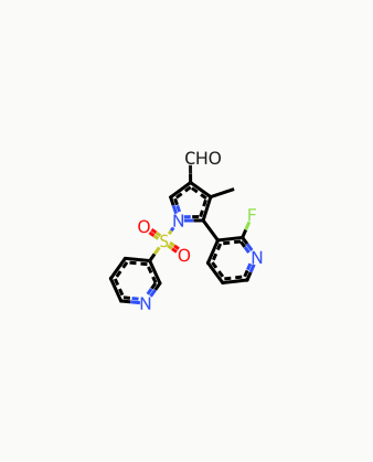 Cc1c(C=O)cn(S(=O)(=O)c2cccnc2)c1-c1cccnc1F